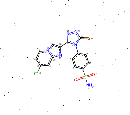 NS(=O)(=O)c1ccc(-n2c(-c3cn4ccc(Cl)cc4n3)n[nH]c2=S)cc1